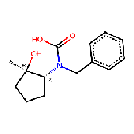 C[C@@]1(O)CCC[C@H]1N(Cc1ccccc1)C(=O)O